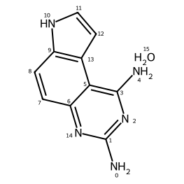 Nc1nc(N)c2c(ccc3[nH]ccc32)n1.O